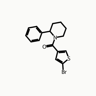 O=C(c1csc(Br)c1)N1CCCCC1c1ccccc1